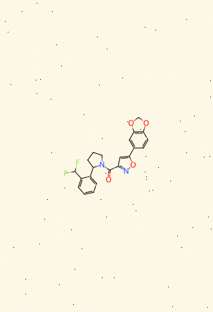 O=C(c1cc(-c2ccc3c(c2)OCO3)on1)N1CCCC1c1ccccc1C(F)F